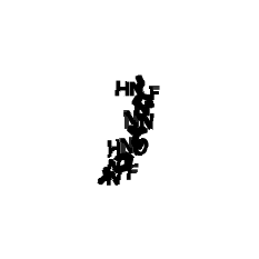 CCNC1CN(c2ncc(C(=O)Nc3cc(F)c4nc(C)cn4c3)cn2)CC1F